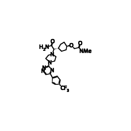 CNC(=O)CO[C@H]1CC[C@H](C(C(N)=O)N2CCN(c3nncc(-c4ccc(C(F)(F)F)cc4)n3)CC2)CC1